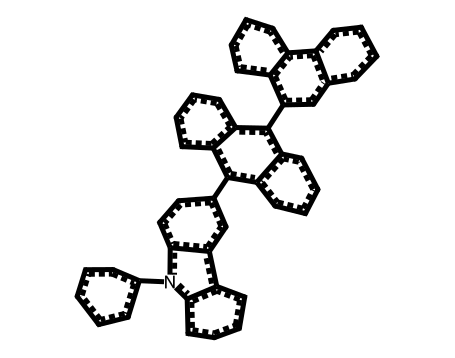 c1ccc(-n2c3ccccc3c3cc(-c4c5ccccc5c(-c5cc6ccccc6c6ccccc56)c5ccccc45)ccc32)cc1